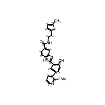 COc1ncccc1-c1ccc(O)c(-c2nc3cc(C(=O)NCCc4ccc(C)s4)ccc3[nH]2)c1